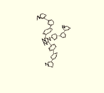 c1cncc(-c2cccc(-c3ccc(-c4nnc(-c5ccc(-c6cccc(-c7cccnc7)c6)cc5)n4-c4ccc(-c5cccc(-c6cccnc6)c5)cc4)cc3)c2)c1